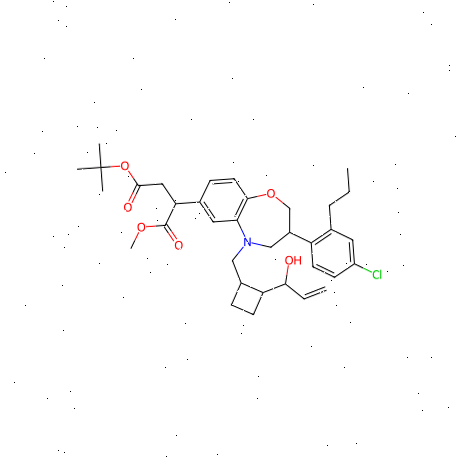 C=CC(O)C1CCC1CN1CC(c2ccc(Cl)cc2CCC)COc2ccc(C(CC(=O)OC(C)(C)C)C(=O)OC)cc21